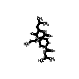 CCCN1C(=O)C(CC(C)C)NC(=O)C12CCN(C(=O)OC(C)C)CC2